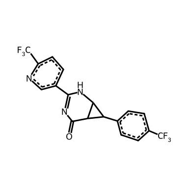 O=C1N=C(c2ccc(C(F)(F)F)nc2)NC2C1C2c1ccc(C(F)(F)F)cc1